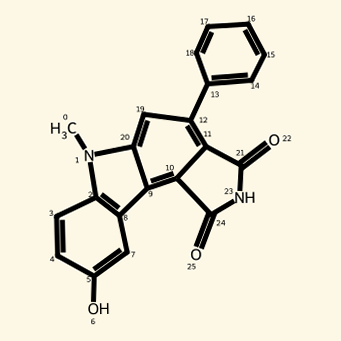 Cn1c2ccc(O)cc2c2c3c(c(-c4ccccc4)cc21)C(=O)NC3=O